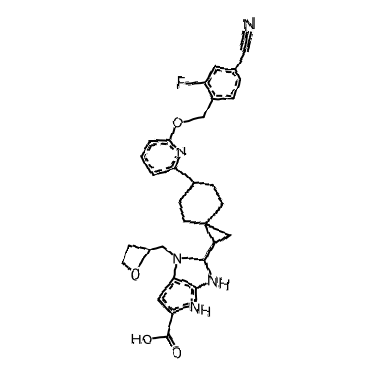 N#Cc1ccc(COc2cccc(C3CCC4(CC3)CC4C3Nc4[nH]c(C(=O)O)cc4N3CC3CCO3)n2)c(F)c1